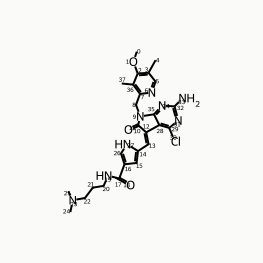 COc1c(C)cnc(CN2C(=O)/C(=C\c3cc(C(=O)NCCCN(C)C)c[nH]3)c3c(Cl)nc(N)nc32)c1C